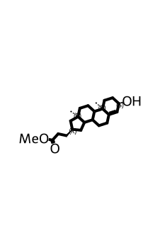 COC(=O)CC[C@@H]1CC2C3CCC4=C[C@@H](O)CC[C@]4(C)C3CC[C@]2(C)C1